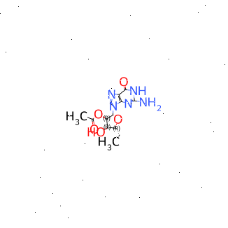 CC[C@H]1OC(n2cnc3c(=O)[nH]c(N)nc32)[C@H](OC(C)=O)[C@@H]1O